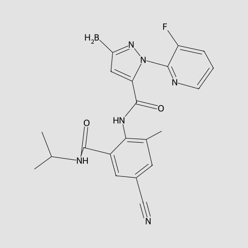 Bc1cc(C(=O)Nc2c(C)cc(C#N)cc2C(=O)NC(C)C)n(-c2ncccc2F)n1